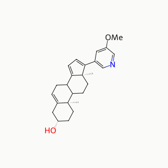 COc1cncc(C2=CC=C3C4CC=C5C[C@@H](O)CC[C@]5(C)C4CC[C@]23C)c1